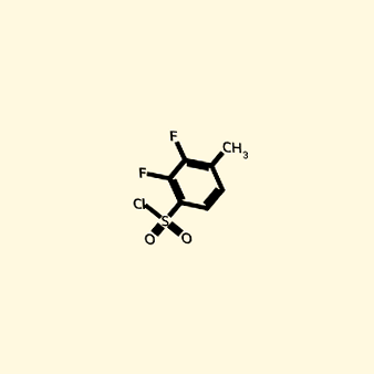 Cc1ccc(S(=O)(=O)Cl)c(F)c1F